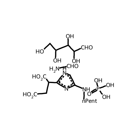 CCCCCNc1c[nH]c(C(CC(=O)O)C(=O)O)n1.NC=O.O=CC(O)C(O)C(O)CO.O=P(O)(O)O